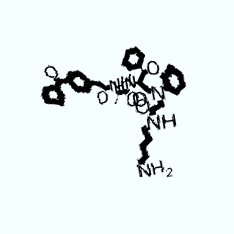 C[C@H](NC(=O)Cc1ccc(C(=O)c2ccccc2)cc1)C(=O)N[C@@H]1C(=O)N(CC(=O)NCCCCCN)c2ccccc2O[C@@H]1c1ccccc1